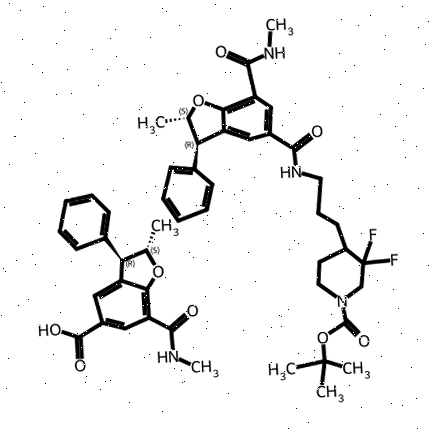 CNC(=O)c1cc(C(=O)NCCCC2CCN(C(=O)OC(C)(C)C)CC2(F)F)cc2c1O[C@@H](C)[C@@H]2c1ccccc1.CNC(=O)c1cc(C(=O)O)cc2c1O[C@@H](C)[C@@H]2c1ccccc1